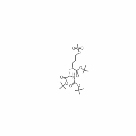 CC(C)(C)OC(=O)N[C@@H](C[C@H](CCCOS(C)(=O)=O)C(=O)OC(C)(C)C)C(=O)OC(C)(C)C